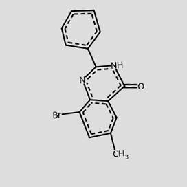 Cc1cc(Br)c2nc(-c3ccccc3)[nH]c(=O)c2c1